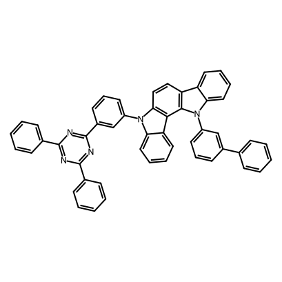 c1ccc(-c2cccc(-n3c4ccccc4c4ccc5c(c6ccccc6n5-c5cccc(-c6nc(-c7ccccc7)nc(-c7ccccc7)n6)c5)c43)c2)cc1